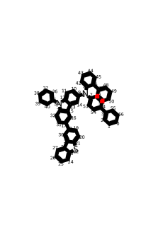 c1ccc(-c2ccc(N(c3ccc4c(c3)c3cc(-c5ccc6sc7ccccc7c6c5)ccc3n4-c3ccccc3)c3ccccc3-c3ccccc3)cc2)cc1